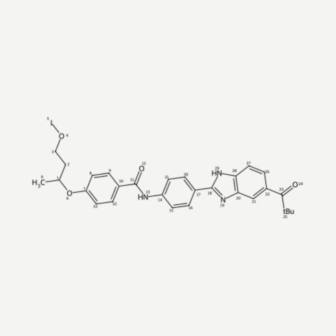 CC(CCOI)Oc1ccc(C(=O)Nc2ccc(-c3nc4cc(C(=O)C(C)(C)C)ccc4[nH]3)cc2)cc1